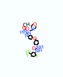 COC(=O)Nc1nc2ccc(Oc3ccc(NC(=O)Nc4cc(C(F)(F)F)ccc4F)cc3)cc2n1CCN1CCOCC1